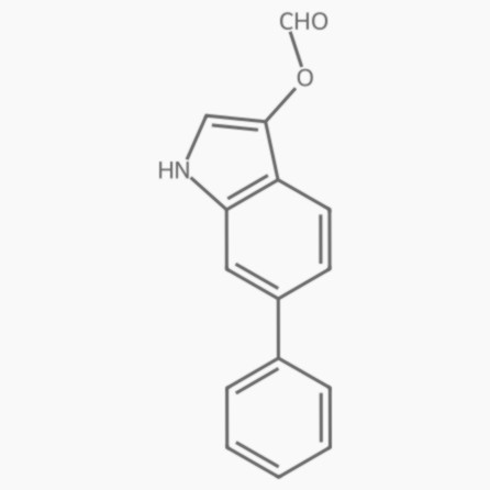 O=COc1c[nH]c2cc(-c3ccccc3)ccc12